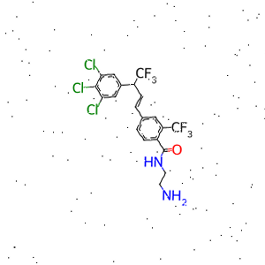 NCCNC(=O)c1ccc(C=CC(c2cc(Cl)c(Cl)c(Cl)c2)C(F)(F)F)cc1C(F)(F)F